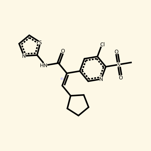 CS(=O)(=O)c1ncc(/C(=C\C2CCCC2)C(=O)Nc2nccs2)cc1Cl